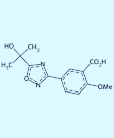 COc1ccc(-c2noc(C(C)(C)O)n2)cc1C(=O)O